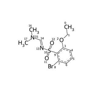 CCOc1cccc(Br)c1S(=O)(=O)/N=C/N(C)C